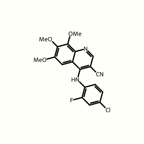 COc1cc2c(Nc3ccc(Cl)cc3F)c(C#N)cnc2c(OC)c1OC